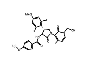 COc1cc(F)c([C@@H]2CN(c3c(C)ccn(CC#N)c3=O)C(=O)C2NC(=O)c2ccc(OC(F)(F)F)cc2)c(F)c1